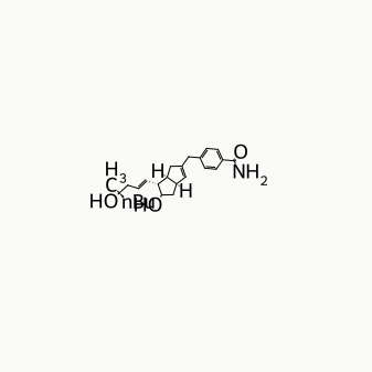 CCCC[C@](C)(O)C/C=C/[C@@H]1[C@H]2CC(Cc3ccc(C(N)=O)cc3)=C[C@H]2C[C@H]1O